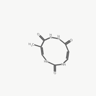 CC1=CNC(=O)NC=CC(=O)NNC1=O